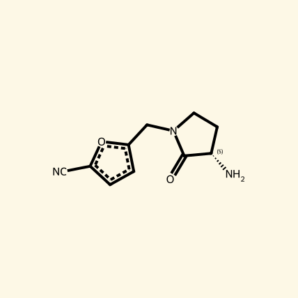 N#Cc1ccc(CN2CC[C@H](N)C2=O)o1